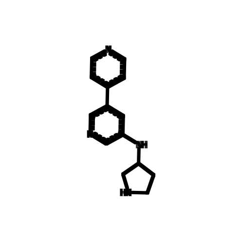 c1cc(-c2cncc(NC3CCNC3)c2)ccn1